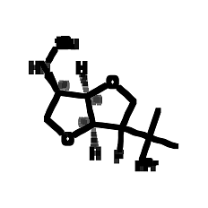 CCCC(C)(C)C1(F)CO[C@@H]2[C@H](NC(C)(C)C)CO[C@@H]21